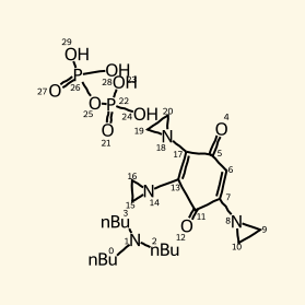 CCCCN(CCCC)CCCC.O=C1C=C(N2CC2)C(=O)C(N2CC2)=C1N1CC1.O=P(O)(O)OP(=O)(O)O